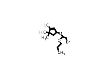 CCCOC(CBr)OC1C=C(C)C(C)(C)C1